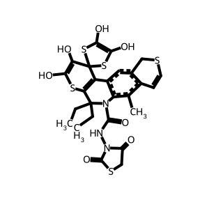 CCC1(CC)C2=C(c3cc4c(c(C)c3N1C(=O)NN1C(=O)CSC1=O)C=CSC4)C1(SC(O)=C(O)S1)C(O)=C(O)S2